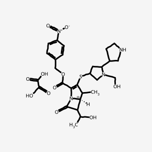 CC(O)C1C(=O)N2C(C(=O)OCc3ccc([N+](=O)[O-])cc3)=C(SC3CC(C4CCNC4)N(CO)C3)C(C)[C@@H]12.O=C(O)C(=O)O